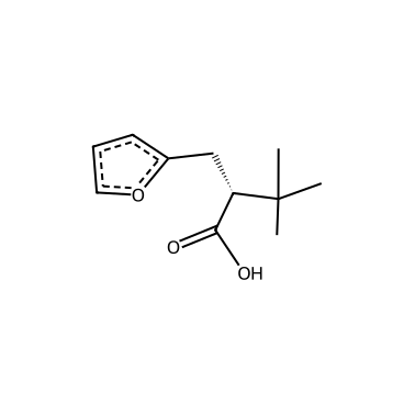 CC(C)(C)[C@@H](Cc1ccco1)C(=O)O